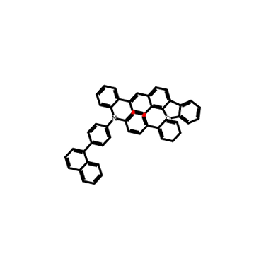 C1=CC(c2ccc(N(c3ccc(-c4cccc5ccccc45)cc3)c3ccccc3-c3ccc4c(ccc5c6ccccc6oc45)c3)cc2)=CCC1